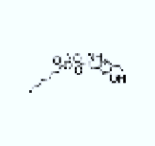 CCCCCCCC(=O)OC(C)OC(=O)[C@@H](N)Cc1ccc(CC)c(O)c1